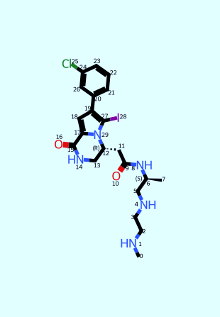 CNCCNC[C@H](C)NC(=O)C[C@@H]1CNC(=O)c2cc(-c3cccc(Cl)c3)c(I)n21